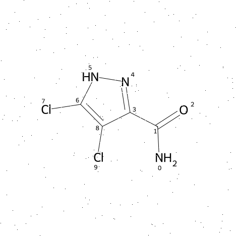 NC(=O)c1n[nH]c(Cl)c1Cl